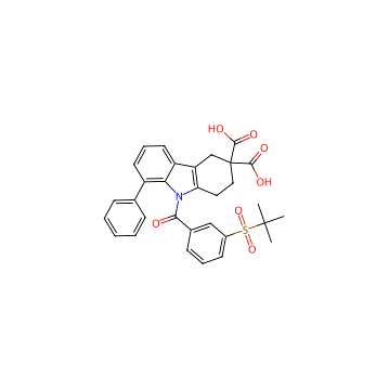 CC(C)(C)S(=O)(=O)c1cccc(C(=O)n2c3c(c4cccc(-c5ccccc5)c42)CC(C(=O)O)(C(=O)O)CC3)c1